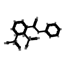 O=C(Cc1ccccc1)c1cccc([N+](=O)[O-])c1[N+](=O)[O-]